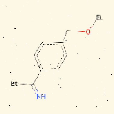 CCOCc1ccc(C(=N)CC)cc1